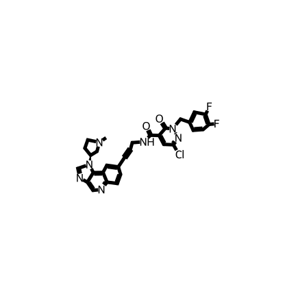 CN1CC[C@H](n2cnc3cnc4ccc(C#CCNC(=O)c5cc(Cl)nn(Cc6ccc(F)c(F)c6)c5=O)cc4c32)C1